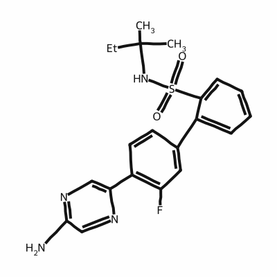 CCC(C)(C)NS(=O)(=O)c1ccccc1-c1ccc(-c2cnc(N)cn2)c(F)c1